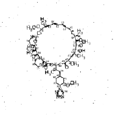 CO[C@H]1C[C@@H]2CC[C@@H](C)[C@@](O)(O2)C(=O)C(=O)N2CCCC[C@H]2C(=O)O[C@H]([C@H](C)C[C@@H]2CC[C@H](n3cnnn3)[C@H](OC)C2)CC(=O)[C@H](C)/C=C(\C)[C@@H](O)[C@@H](OC)C(=O)[C@H](C)CC/C=C/C=C/C=C/1C